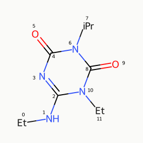 CCNc1nc(=O)n(C(C)C)c(=O)n1CC